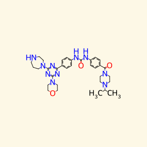 CC(C)N1CCN(C(=O)c2ccc(NC(=O)Nc3ccc(-c4nc(N5CCCNCC5)nc(N5CCOCC5)n4)cc3)cc2)CC1